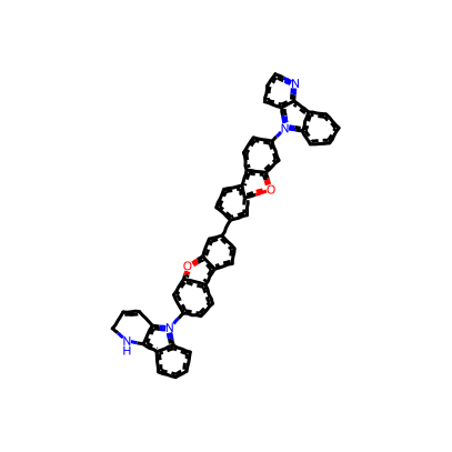 C1=Cc2c(c3ccccc3n2-c2ccc3c(c2)oc2cc(-c4ccc5c(c4)oc4cc(-n6c7ccccc7c7ncccc76)ccc45)ccc23)NC1